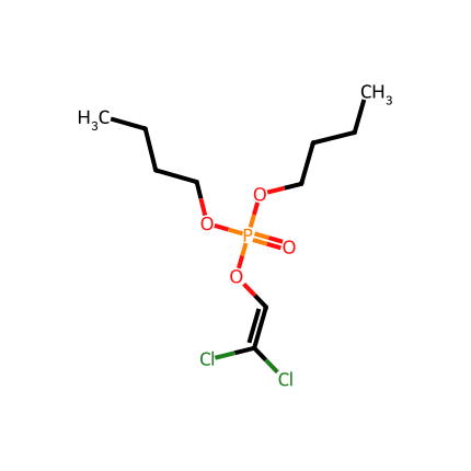 CCCCOP(=O)(OC=C(Cl)Cl)OCCCC